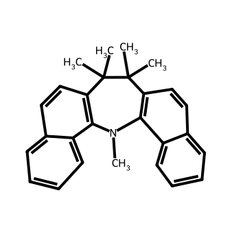 CN1c2c(ccc3ccccc23)C(C)(C)C(C)(C)c2ccc3ccccc3c21